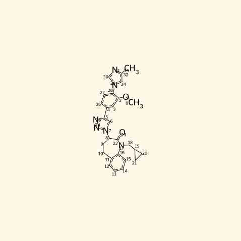 COc1cc(-c2cn(C3CCc4ccccc4N(CC4CC4)C3=O)nn2)ccc1-n1cnc(C)c1